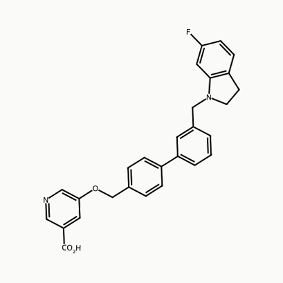 O=C(O)c1cncc(OCc2ccc(-c3cccc(CN4CCc5ccc(F)cc54)c3)cc2)c1